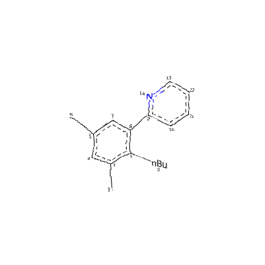 CCCCc1c(C)cc(C)cc1-c1ccccn1